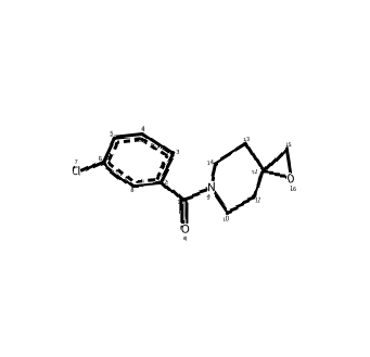 O=C(c1cccc(Cl)c1)N1CCC2(CC1)CO2